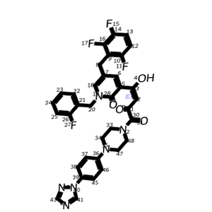 O=C(/C=C(/O)c1cc(Cc2c(F)ccc(F)c2F)cn(Cc2ccccc2F)c1=O)C(=O)N1CCN(c2ccc(-n3cncn3)cc2)CC1